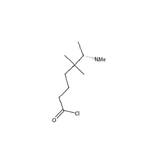 CN[C@@H](C)C(C)(C)CCCC(=O)Cl